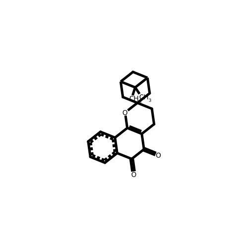 CC1(C)C2CC1CC1(CCC3=C(O1)c1ccccc1C(=O)C3=O)C2